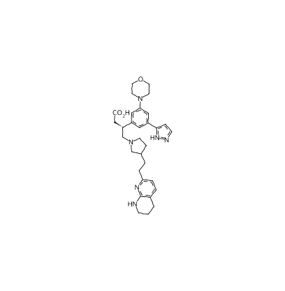 O=C(O)C[C@H](CN1CCC(CCc2ccc3c(n2)NCCC3)C1)c1cc(-c2ccn[nH]2)cc(N2CCOCC2)c1